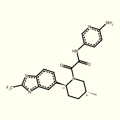 C[C@@H]1CC[C@@H](c2ccc3sc(C(F)(F)F)nc3c2)N(C(=O)C(=O)Nc2ccc(N)nc2)C1